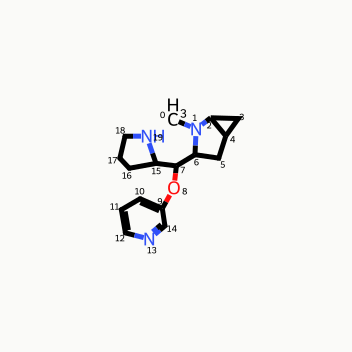 CN1C2CC2CC1C(Oc1cccnc1)C1CCCN1